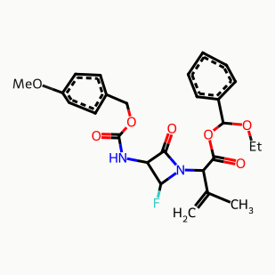 C=C(C)C(C(=O)OC(OCC)c1ccccc1)N1C(=O)C(NC(=O)OCc2ccc(OC)cc2)C1F